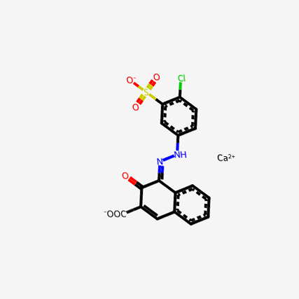 O=C([O-])C1=Cc2ccccc2/C(=N\Nc2ccc(Cl)c(S(=O)(=O)[O-])c2)C1=O.[Ca+2]